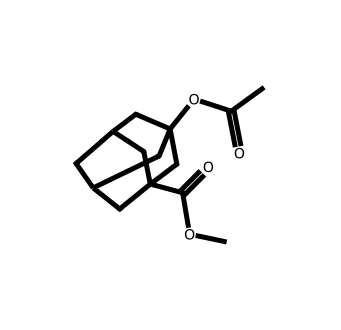 COC(=O)C12CC3CC(CC(OC(C)=O)(C3)C1)C2